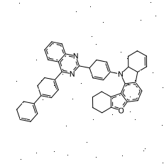 C1=CCCC(C2=CC=C(c3nc(C4C=CC(N5c6c(ccc7oc8c(c67)CCCC8)C6C=CCCC65)=CC4)nc4ccccc34)CC2)=C1